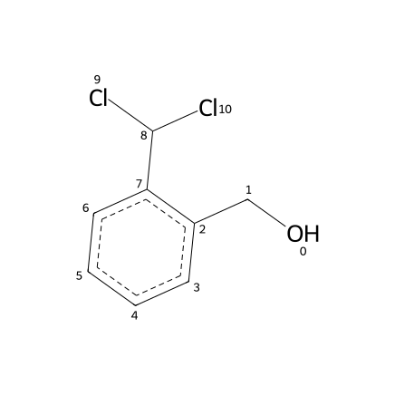 OCc1ccccc1C(Cl)Cl